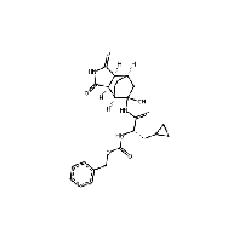 N#CC1(NC(=O)[C@H](CC2CC2)NC(=O)OCc2ccccc2)C[C@H]2CC[C@@H]1[C@H]1C(=O)NC(=O)[C@@H]21